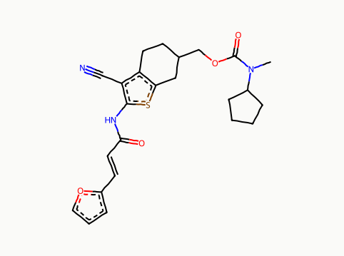 CN(C(=O)OCC1CCc2c(sc(NC(=O)C=Cc3ccco3)c2C#N)C1)C1CCCC1